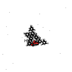 Cc1cc(C)c(-c2cc3c4c(c2)Oc2c(sc5ccccc25)B4c2cc4c(cc2O3)Oc2cc(-c3c(C)cc(C)cc3C)cc3c2B4c2cc4c(cc2N3c2c(C)cc(C)cc2C)Nc2cc(C)cc3c2B4c2sc4ccccc4c2O3)c(C)c1